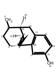 CC1CC[C@@]23CCCC[C@@H]2[C@@H]1Cc1ccc(O)cc13